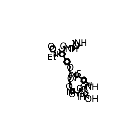 CCN(c1cc(-c2ccc(OCCCOCCOc3cc(C(C(=O)N4C[C@H](O)C[C@H]4C(=O)N[C@@H](C)c4ccc(-c5scnc5C)cc4)C(C)C)on3)cc2)cc(C(=O)NCC2=C(C)C=C(C)NC2C)c1C)C1CCOCC1